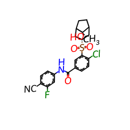 C[C@]1(O)C2CCC1C[C@@H](S(=O)(=O)c1cc(C(=O)Nc3ccc(C#N)c(F)c3)ccc1Cl)C2